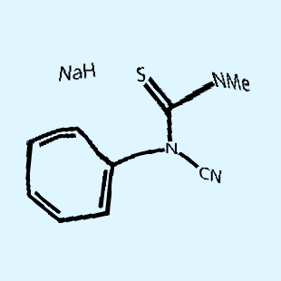 CNC(=S)N(C#N)c1ccccc1.[NaH]